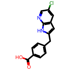 O=C(O)c1ccc(Cc2cc3cc(Cl)cnc3[nH]2)cc1